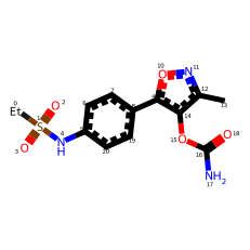 CCS(=O)(=O)Nc1ccc(-c2onc(C)c2OC(N)=O)cc1